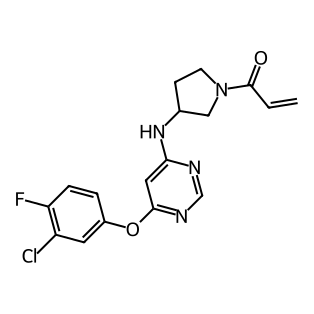 C=CC(=O)N1CCC(Nc2cc(Oc3ccc(F)c(Cl)c3)ncn2)C1